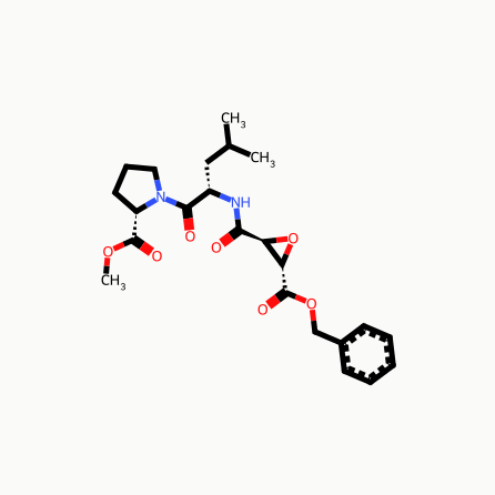 COC(=O)[C@@H]1CCCN1C(=O)[C@H](CC(C)C)NC(=O)[C@H]1O[C@@H]1C(=O)OCc1ccccc1